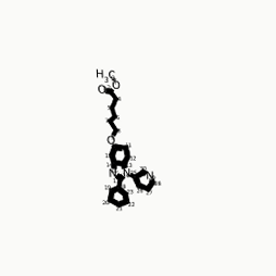 COC(=O)CCCCCOc1ccc2c(c1)nc(-c1ccccc1)n2-c1cccnc1